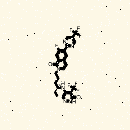 CC[C@@H](CCCn1ccc2cc(-c3ncc(C(F)(F)F)cn3)c(F)cc2c1=O)Nc1cn[nH]c(=O)c1C(F)(F)F